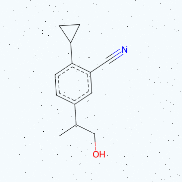 C[C](CO)c1ccc(C2CC2)c(C#N)c1